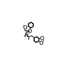 COCP(Oc1ccccc1)N(C)C(C)Cc1ccc2c(c1)OCO2